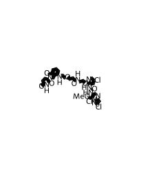 CO[C@@H](C)c1c(NC(=O)Nc2cc(Cl)cnc2OCCNC(=O)CCOCCNc2cccc3c2CN(C2CCC(=O)NC2=O)C3=O)cnc2cc(Cl)nn12